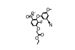 CCOC(=O)COc1ccc([N+](=O)[O-])c(Oc2cc(C#N)cc(OC)c2)c1F